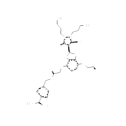 C=C(C)c1ccc(COC(=O)COc2ccc(OCC=O)c3c2S/C(=c2\c(=C)n(CCCC)n(CCCC)c2=O)S3)cc1